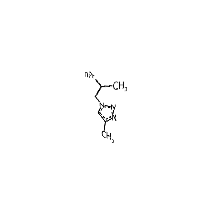 CCCC(C)Cn1cc(C)nn1